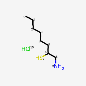 CCCCCCC(S)CN.Cl